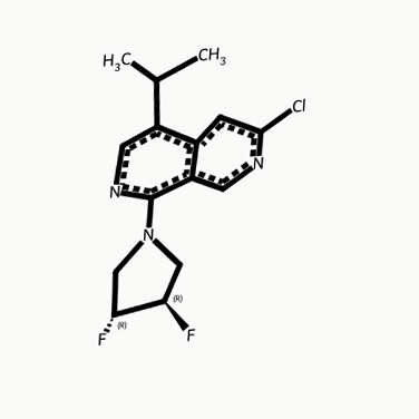 CC(C)c1cnc(N2C[C@@H](F)[C@H](F)C2)c2cnc(Cl)cc12